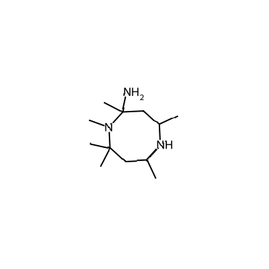 CC1CC(C)(C)N(C)C(C)(N)CC(C)N1